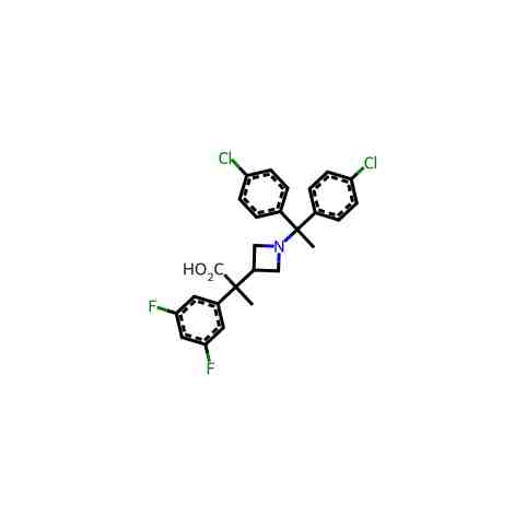 CC(C(=O)O)(c1cc(F)cc(F)c1)C1CN(C(C)(c2ccc(Cl)cc2)c2ccc(Cl)cc2)C1